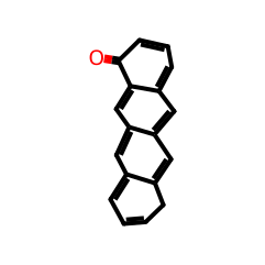 O=C1C=CC=c2cc3cc4c(cc3cc21)=CC=CC4